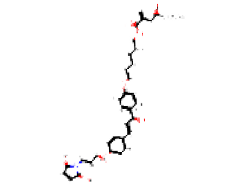 C=C(CC(=O)OC)C(=O)OCCCCCCOc1ccc(C(=O)/C=C/c2ccc(OCCCN3C(=O)C=CC3=O)cc2)cc1